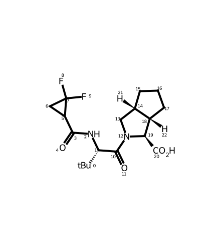 CC(C)(C)[C@H](NC(=O)C1CC1(F)F)C(=O)N1C[C@@H]2CCC[C@@H]2[C@H]1C(=O)O